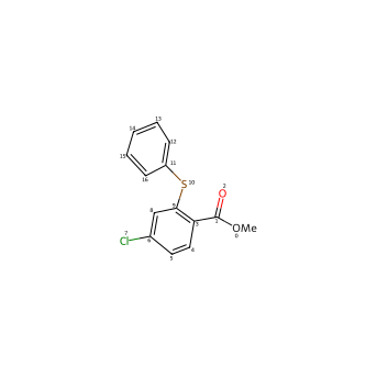 COC(=O)c1ccc(Cl)cc1Sc1ccccc1